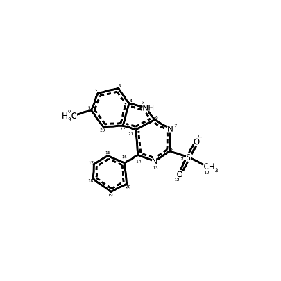 Cc1ccc2[nH]c3nc(S(C)(=O)=O)nc(-c4ccccc4)c3c2c1